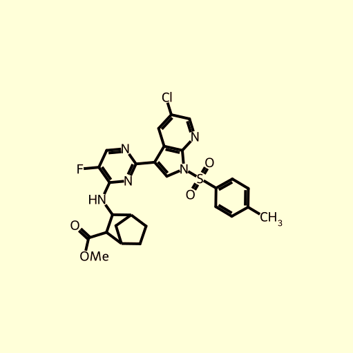 COC(=O)C1C2CCC(C2)C1Nc1nc(-c2cn(S(=O)(=O)c3ccc(C)cc3)c3ncc(Cl)cc23)ncc1F